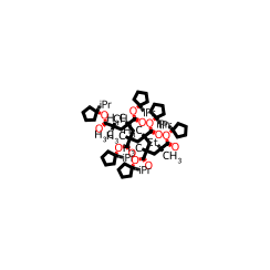 CCC(C)(CC(C)(CC(C)(CC(C)(CC(C)(CC(C)(C)C(=O)OC1(C(C)C)CCCC1)C(=O)OC1(C(C)C)CCCC1)C(=O)OC1(C(C)C)CCCC1)C(=O)OC1(C(C)C)CCCC1)C(=O)OC1(C(C)C)CCCC1)C(=O)OC1(C(C)C)CCCC1